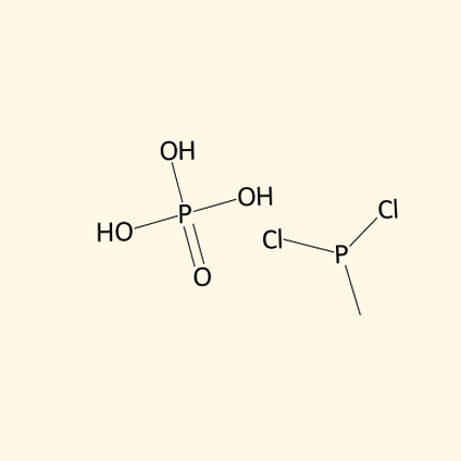 CP(Cl)Cl.O=P(O)(O)O